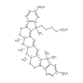 CC1(CCCCC(=O)O)C2=C3C=C4C=C5C6N(CC[C@@]5(C)C[C@@]4(C)O[C@@]3(C)CCN2c2ccc(S(=O)(=O)O)cc21)c1ccc(S(=O)(=O)O)cc1C6(C)C